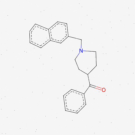 O=C(c1ccccc1)C1CCN(Cc2ccc3ccccc3c2)CC1